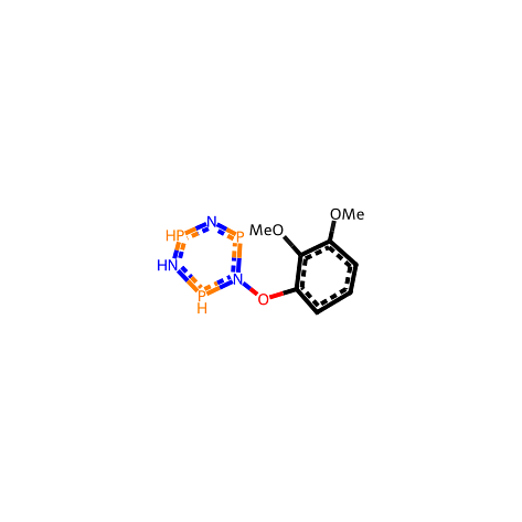 COc1cccc(On2pn[pH][nH][pH]2)c1OC